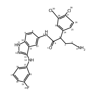 NCCC(C(=O)Nc1ccc2[nH]nc(Nc3cccc(F)c3)c2c1)c1ccc(Cl)c(Cl)c1